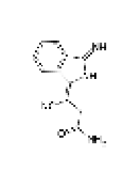 N#C/C(CC(N)=O)=C1/NC(=N)c2ccccc21